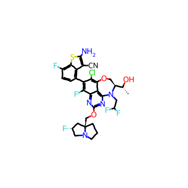 C[C@@H](O)[C@@H]1COc2c(Cl)c(-c3ccc(F)c4sc(N)c(C#N)c34)c(F)c3nc(OC[C@@]45CCCN4C[C@H](F)C5)nc(c23)N1CC(F)F